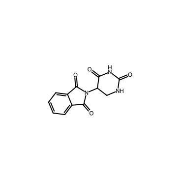 O=C1NCC(N2C(=O)c3ccccc3C2=O)C(=O)N1